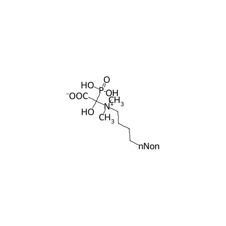 CCCCCCCCCCCCC[N+](C)(C)C(O)(C(=O)[O-])P(=O)(O)O